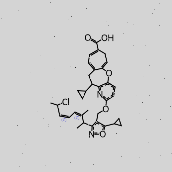 C/C(=C/C=C\C(C)Cl)C(C)c1noc(C2CC2)c1COc1ccc2c(n1)C(C1CC1)CC1=CC=C(C(=O)O)CC=C1O2